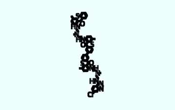 Cc1ccc(NCCN(C)CCNc2ncnc3cc(Cl)ccc23)c2c(=O)c3cc(-c4ccc5sc6c(C)ccc(NCCN(C)CCNc7ccc(C)c8sc9ccccc9c(=O)c78)c6c(=O)c5c4)ccc3sc12